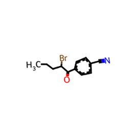 CCCC(Br)C(=O)c1ccc(C#N)cc1